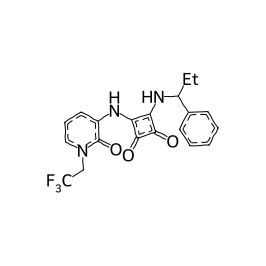 CCC(Nc1c(Nc2cccn(CC(F)(F)F)c2=O)c(=O)c1=O)c1ccccc1